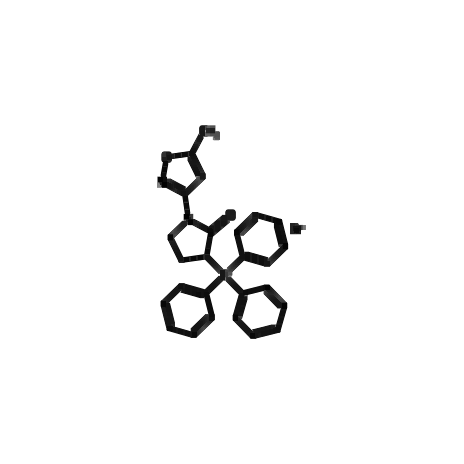 Cc1cc(N2CCC([P+](c3ccccc3)(c3ccccc3)c3ccccc3)C2=O)no1.[Br-]